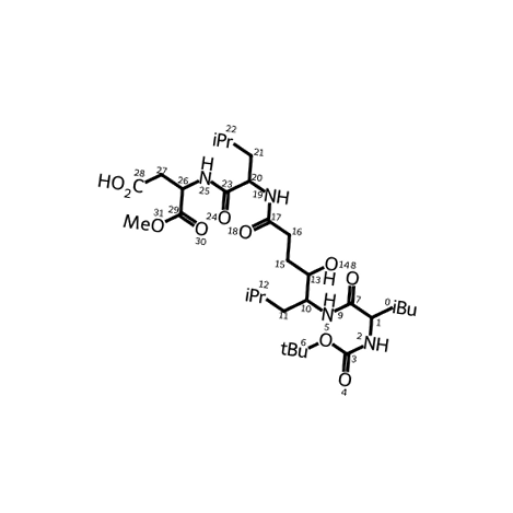 CCC(C)C(NC(=O)OC(C)(C)C)C(=O)NC(CC(C)C)C(O)CCC(=O)NC(CC(C)C)C(=O)NC(CC(=O)O)C(=O)OC